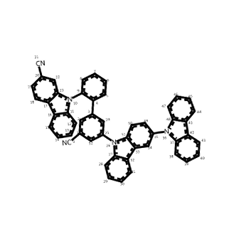 N#Cc1cc(-c2ccccc2-n2c3ccccc3c3ccc(C#N)cc32)cc(-n2c3ccccc3c3cc(-n4c5ccccc5c5ccccc54)ccc32)c1